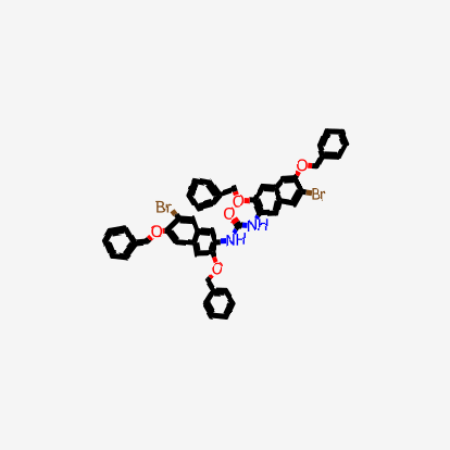 O=C(Nc1cc2cc(Br)c(OCc3ccccc3)cc2cc1OCc1ccccc1)Nc1cc2cc(Br)c(OCc3ccccc3)cc2cc1OCc1ccccc1